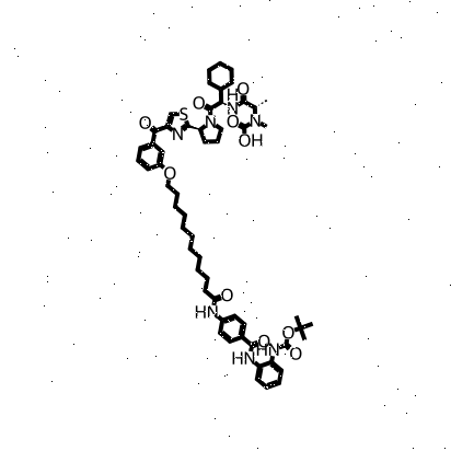 C[C@@H](C(=O)N[C@H](C(=O)N1CCC[C@H]1c1nc(C(=O)c2cccc(OCCCCCCCCCCCC(=O)Nc3ccc(C(=O)Nc4ccccc4NC(=O)OC(C)(C)C)cc3)c2)cs1)C1CCCCC1)N(C)C(=O)O